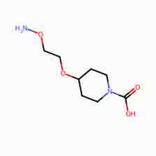 NOCCOC1CCN(C(=O)O)CC1